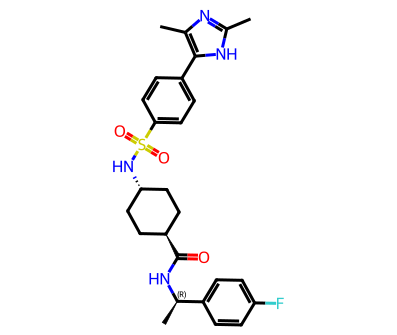 Cc1nc(C)c(-c2ccc(S(=O)(=O)N[C@H]3CC[C@H](C(=O)N[C@H](C)c4ccc(F)cc4)CC3)cc2)[nH]1